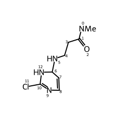 CNC(=O)CCNC1C=CN=C(Cl)N1